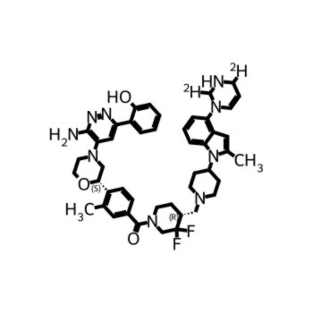 [2H]C1C=CN(c2cccc3c2cc(C)n3C2CCN(C[C@H]3CCN(C(=O)c4ccc([C@H]5CN(c6cc(-c7ccccc7O)nnc6N)CCO5)c(C)c4)CC3(F)F)CC2)C([2H])N1